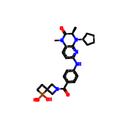 C[C@@H]1C(=O)N(C)c2ccc(Nc3ccc(C(=O)N4CC5(CCS5(O)O)C4)cc3)nc2N1C1CCCC1